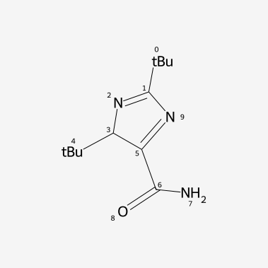 CC(C)(C)C1=NC(C(C)(C)C)C(C(N)=O)=N1